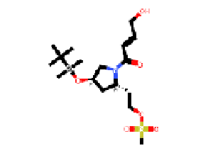 CC(C)(C)[Si](C)(C)O[C@@H]1C[C@@H](CCOS(C)(=O)=O)N(C(=O)C=CCO)C1